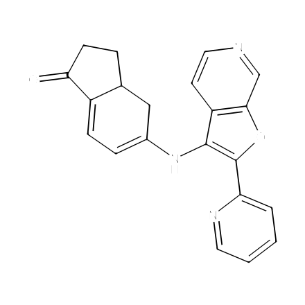 O=C1CCC2CC(Nc3c(-c4ccccn4)oc4cnccc34)=CC=C12